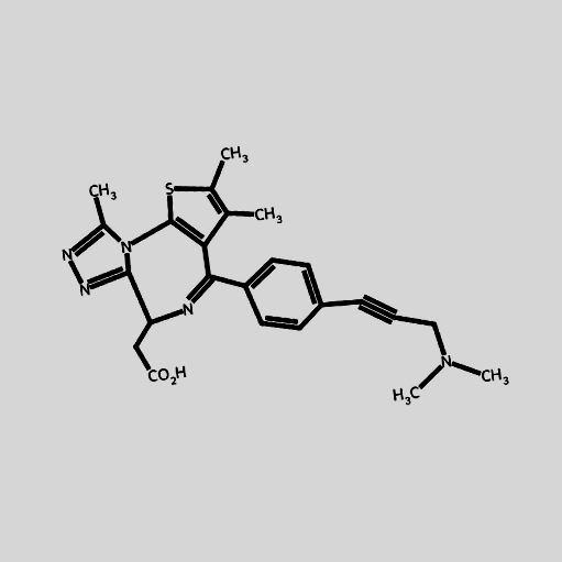 Cc1sc2c(c1C)C(c1ccc(C#CCN(C)C)cc1)=NC(CC(=O)O)c1nnc(C)n1-2